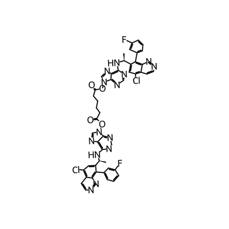 C[C@H](Nc1ncnc2c1ncn2OC(=O)CCCCC(=O)On1cnc2c(N[C@@H](C)c3cc(Cl)c4ccnnc4c3-c3cccc(F)c3)ncnc21)c1cc(Cl)c2ccnnc2c1-c1cccc(F)c1